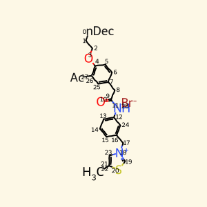 CCCCCCCCCCCCOc1ccc(CC(=O)Nc2cccc(C[n+]3csc(C)c3)c2)cc1C(C)=O.[Br-]